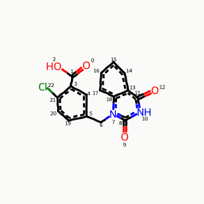 O=C(O)c1cc(Cn2c(=O)[nH]c(=O)c3ccccc32)ccc1Cl